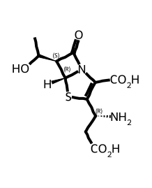 CC(O)[C@H]1C(=O)N2C(C(=O)O)=C([C@H](N)CC(=O)O)S[C@H]12